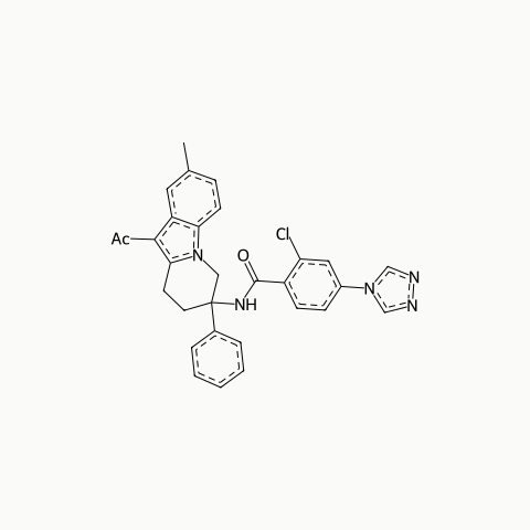 CC(=O)c1c2n(c3ccc(C)cc13)CC(NC(=O)c1ccc(-n3cnnc3)cc1Cl)(c1ccccc1)CC2